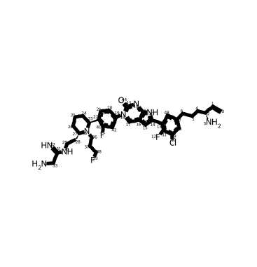 C=C[C@H](N)CCCc1cc(Cl)c(F)c(-c2cc3cn(-c4ccc([C@@H]5CCC[C@@H](CCNC(=N)CN)N5CCCF)c(F)c4)c(=O)nc3[nH]2)c1